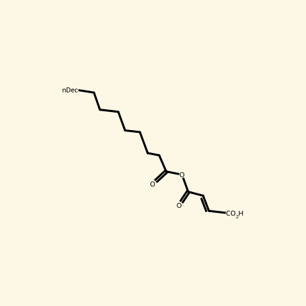 CCCCCCCCCCCCCCCCCC(=O)OC(=O)/C=C/C(=O)O